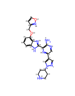 Nc1ncc(-c2cnn(C3CCNCC3)c2)nc1-c1nc2c(OCc3ccon3)cccc2[nH]1